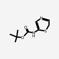 CC(C)(C)OC(=O)NC1=CN=CCS1